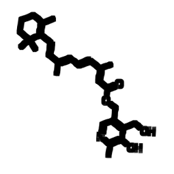 CC(C=CC1=C(C)CCCC1(C)C)=CC=CC(C)=CC(=O)OCc1cnc(C)c(O)c1CO